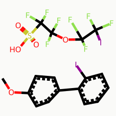 COc1ccc(-c2ccccc2I)cc1.O=S(=O)(O)C(F)(F)C(F)(F)OC(F)(F)C(F)(F)I